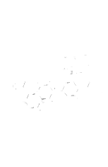 COC(=O)c1ccc(-c2ccc3c(C(N)=O)[c]ccc3c2)cc1C12CC3CC(CC(C3)C1)C2